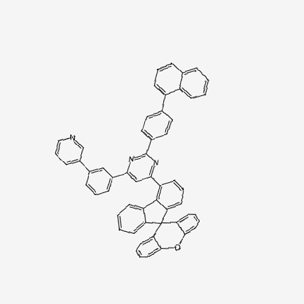 c1cncc(-c2cccc(-c3cc(-c4cccc5c4-c4ccccc4C54c5ccccc5Oc5ccccc54)nc(-c4ccc(-c5cccc6ccccc56)cc4)n3)c2)c1